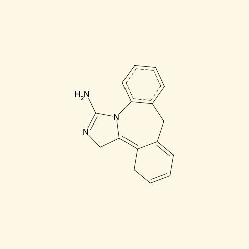 NC1=NCC2=C3CC=CC=C3Cc3ccccc3N12